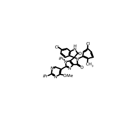 COc1nc(C(C)C)ncc1-c1nc2c(n1C(C)C)C1(C(=O)Nc3cc(Cl)ccc31)N(c1cc(Cl)ccc1C)C2=O